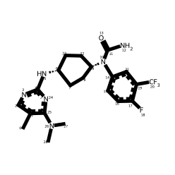 Cc1cnc(N[C@H]2CC[C@@H](N(C(N)=O)c3ccc(F)c(C(F)(F)F)c3)CC2)nc1N(C)C